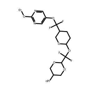 CCCC1COC(C(F)(F)OC2CCC(C(F)(F)Oc3cnc(OCC)nc3)CO2)OC1